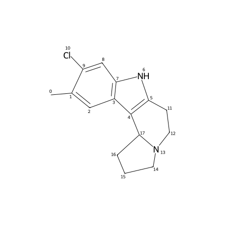 Cc1cc2c3c([nH]c2cc1Cl)CCN1CCCC31